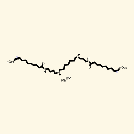 Br.Br.CCCCCCCC/C=C\CCCCCCCC(=O)NCCCCN(C)CCCCCCCN(C)CCCNC(=O)CCCCCCC/C=C\CCCCCCCC